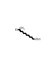 CCCCCCCCCCCCCCCC/C=C(\C)CC